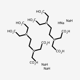 O=C(O)CN(CCN(CC(=O)O)CC(=O)O)CC(=O)O.O=C(O)CN(CCN(CC(=O)O)CC(=O)O)CC(=O)O.[NaH].[NaH].[NaH].[NaH]